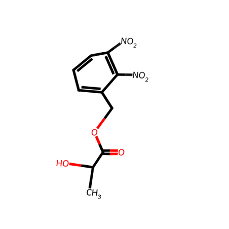 CC(O)C(=O)OCc1cccc([N+](=O)[O-])c1[N+](=O)[O-]